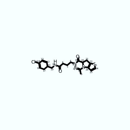 CC1=NN(CCCC(=O)NCC2C=CC(Cl)=CC2)C(=O)C2Cc3sccc3N12